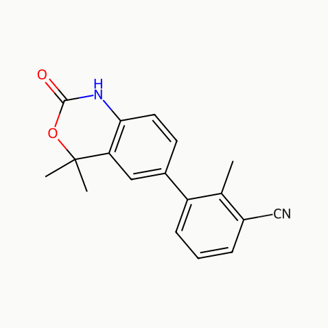 Cc1c(C#N)cccc1-c1ccc2c(c1)C(C)(C)OC(=O)N2